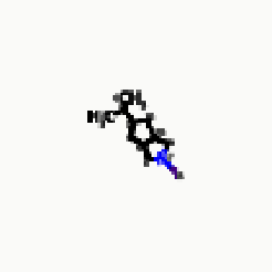 CC(C)C1CC2CN(I)CC2C1